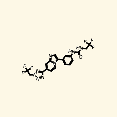 O=C(NCC(F)(F)F)Nc1cccc(-c2cnc3cc(-c4nnn(CC(F)(F)F)n4)ccn23)c1